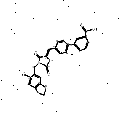 O=C(O)c1cccc(-c2ccc(/C=C3\SC(=O)N(Cc4cc5c(cc4Cl)OCO5)C3=O)cc2)c1